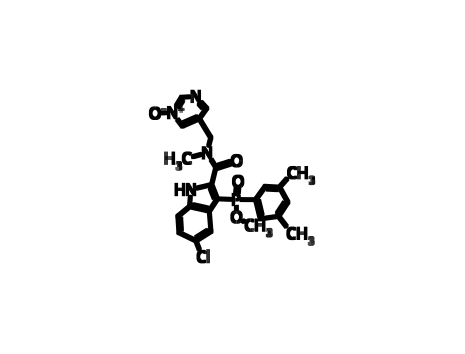 COP(=O)(c1cc(C)cc(C)c1)c1c(C(=O)N(C)Cc2cnc[n+]([O-])c2)[nH]c2ccc(Cl)cc12